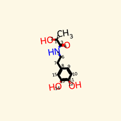 C[C@H](O)C(=O)NCCc1ccc(O)c(O)c1